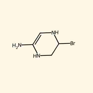 NC1=CNC(Br)CN1